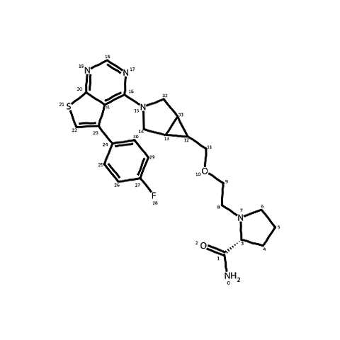 NC(=O)[C@H]1CCCN1CCOCC1C2CN(c3ncnc4scc(-c5ccc(F)cc5)c34)CC12